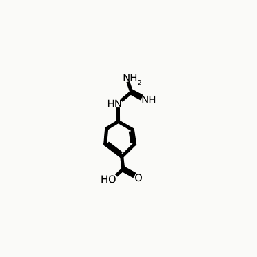 N=C(N)NC1C=CC(C(=O)O)=CC1